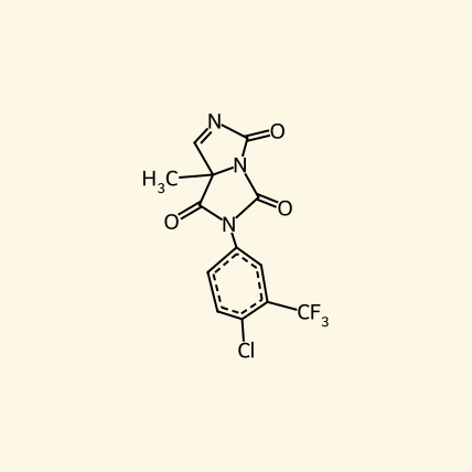 CC12C=NC(=O)N1C(=O)N(c1ccc(Cl)c(C(F)(F)F)c1)C2=O